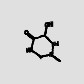 CN1[CH]NC(=O)C(O)N1